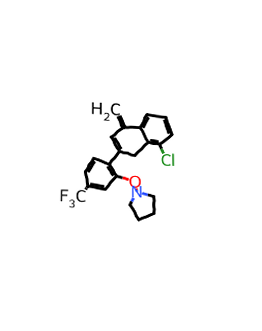 C=C1C=C(c2ccc(C(F)(F)F)cc2ON2CCCC2)Cc2c(Cl)cccc21